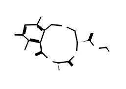 CCOC(=O)[C@@H]1CSCc2c(O)cc(O)c(C)c2C(=O)O[C@H](C)C(=O)N1